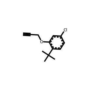 C#CCOc1cc(Cl)ccc1C(C)(C)C